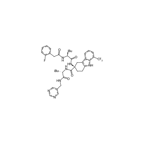 CCC(C)[C@H](NC(=O)Cc1ccccc1F)C(=O)N[C@]1(C(=O)N[C@H](C(=O)NCc2cncnc2)C(C)CC)CCc2[nH]c3c(C(F)(F)F)cccc3c2C1